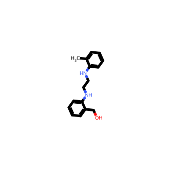 Cc1ccccc1NCCNc1ccccc1CO